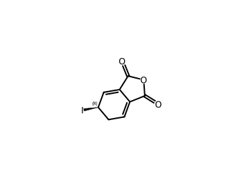 O=C1OC(=O)C2=C[C@H](I)CC=C12